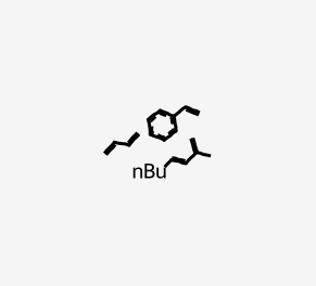 C=C(C)/C=C/CCCC.C=CC=C.C=Cc1ccccc1